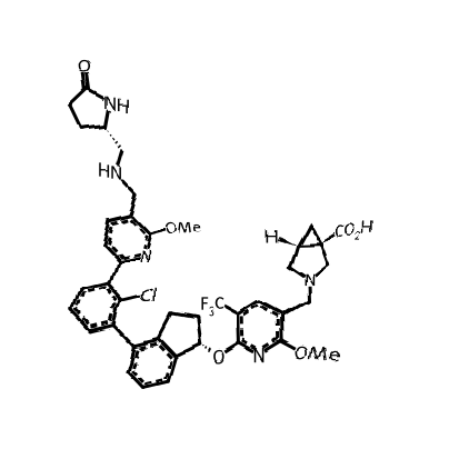 COc1nc(-c2cccc(-c3cccc4c3CC[C@@H]4Oc3nc(OC)c(CN4C[C@@H]5C[C@]5(C(=O)O)C4)cc3C(F)(F)F)c2Cl)ccc1CNC[C@@H]1CCC(=O)N1